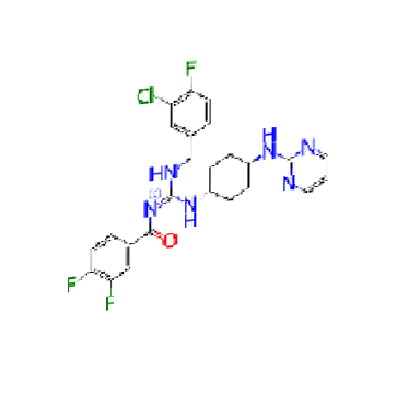 O=C(/N=C(/NCc1ccc(F)c(Cl)c1)N[C@H]1CC[C@H](Nc2ncccn2)CC1)c1ccc(F)c(F)c1